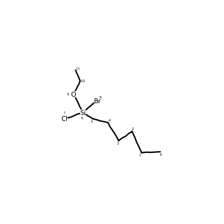 CCCCCC[Si](Cl)(Br)OCC